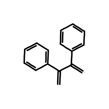 [CH]=C(C(=C)c1ccccc1)c1ccccc1